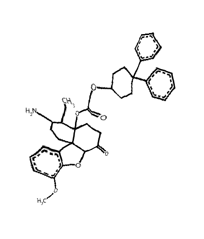 COc1cccc2c1OC1C(=O)CCC3(OC(=O)OC4CCC(c5ccccc5)(c5ccccc5)CC4)C(C)C(N)CCC213